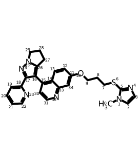 Cn1ccnc1SCCCOc1ccc2c(-c3c(-c4ccccn4)nn4c3CCC4)ccnc2c1